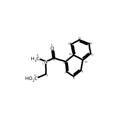 CN(CC(=O)O)C(=O)c1cccc2ccccc12